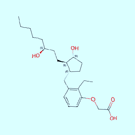 CCCCC[C@H](O)CC[C@@H]1[C@@H](Cc2cccc(OCC(=O)O)c2CC)CC[C@H]1O